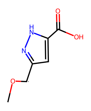 CO[CH]c1cc(C(=O)O)[nH]n1